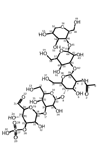 CC(=O)NC1C(O)[C@H](O[C@@H]2OC(CO)[C@H](O)C(O[C@@H]3OC(C=O)[C@@H](O)C(OS(=O)(=O)O)C3O)C2O)C(CO)O[C@H]1OC1C(O)[C@H](O[C@@H]2C(CO)OCC(O)C2O)OC(CO)[C@@H]1O